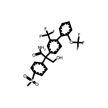 CS(=O)(=O)c1ccc(C(CO)(C(N)=O)c2ccc(-c3ccccc3OC(F)(F)F)c(C(F)(F)F)c2)cc1